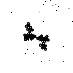 c1ccc([Si](c2ccccc2)(c2ccc(-c3nc(-n4c5ccccc5n5c6ccccc6nc45)nc(-n4c5ccccc5n5c6cc(-c7ccc8nc9n(-c%10nc(-c%11ccc([Si](c%12ccccc%12)(c%12ccccc%12)c%12cccc%13c%12sc%12ccccc%12%13)cc%11)nc(-n%11c%12ccccc%12c%12ccccc%12%11)n%10)c%10ccccc%10n9c8c7)ccc6nc45)n3)cc2)c2cccc(-n3c4ccccc4c4ccccc43)c2)cc1